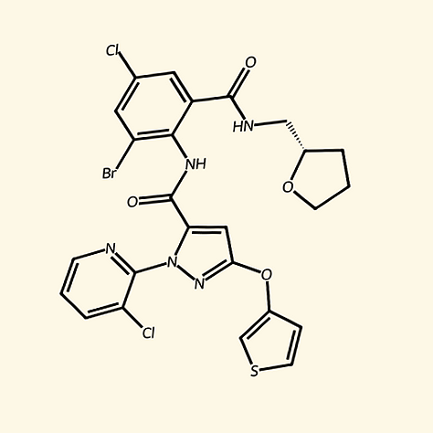 O=C(NC[C@@H]1CCCO1)c1cc(Cl)cc(Br)c1NC(=O)c1cc(Oc2ccsc2)nn1-c1ncccc1Cl